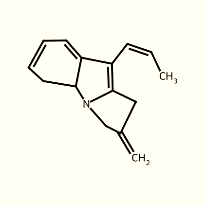 C=C1CC2=C(/C=C\C)C3=CC=CCC3N2C1